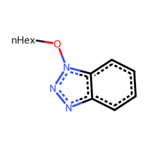 CCCCCCOn1nnc2ccccc21